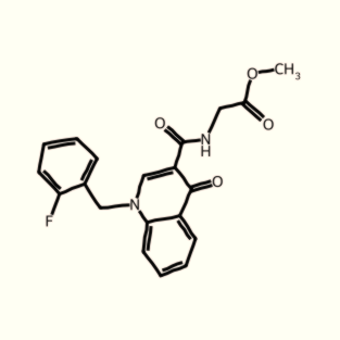 COC(=O)CNC(=O)c1cn(Cc2ccccc2F)c2ccccc2c1=O